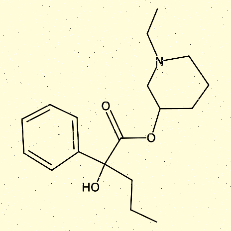 CCCC(O)(C(=O)OC1CCCN(CC)C1)c1ccccc1